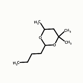 CCCCC1OC(C)CC(C)(C)O1